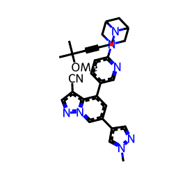 COC(C)(C)C#CCN1C2CC1CN(c1ccc(-c3cc(-c4cnn(C)c4)cn4ncc(C#N)c34)cn1)C2